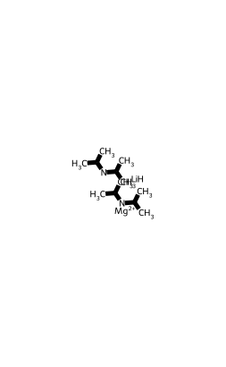 CC(C)[N-]C(C)C.CC(C)[N-]C(C)C.[LiH].[Mg+2]